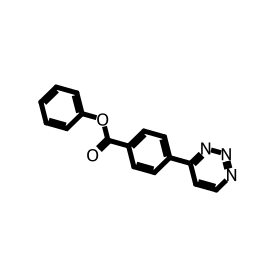 O=C(Oc1ccccc1)c1ccc(-c2ccnnn2)cc1